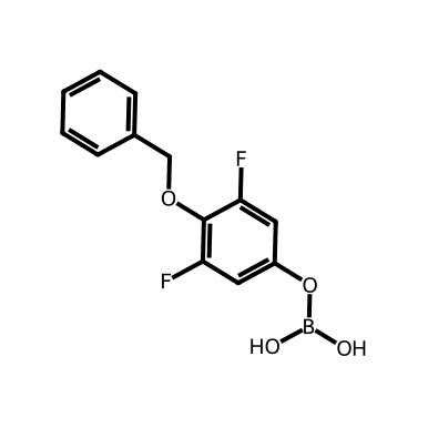 OB(O)Oc1cc(F)c(OCc2ccccc2)c(F)c1